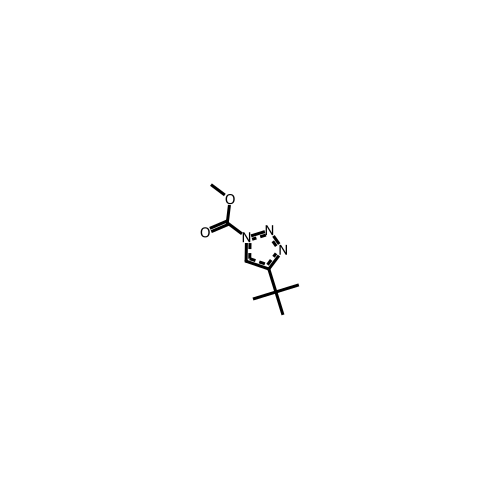 COC(=O)n1cc(C(C)(C)C)nn1